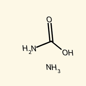 N.NC(=O)O